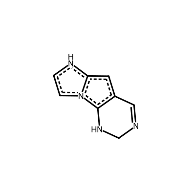 C1=NCNc2c1cc1[nH]ccn21